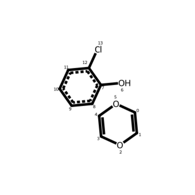 C1=COC=CO1.Oc1ccccc1Cl